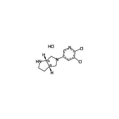 Cl.Clc1cc(N2C[C@@H]3CCN[C@@H]3C2)cnc1Cl